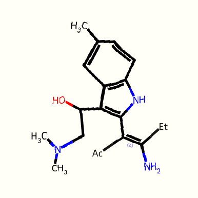 CC/C(N)=C(/C(C)=O)c1[nH]c2ccc(C)cc2c1C(O)CN(C)C